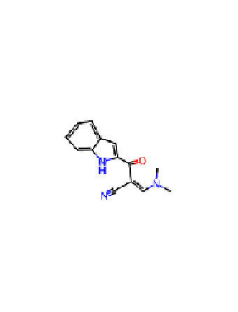 CN(C)/C=C(/C#N)C(=O)c1cc2ccccc2[nH]1